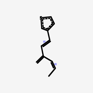 C=C(/C=C\C)/C=C/c1ccsc1